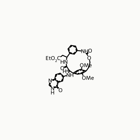 CCOC(=O)CC1NC(=O)[C@H](Nc2ccc3nc[nH]c(=O)c3c2)c2cc(OC)c(c(OC)c2)CCOC(=O)Nc2cccc1c2